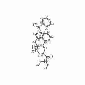 CCN(CC)C(=O)[C@@H]1C=C2c3cccc4c3c(cn4C(=O)c3ccncc3)C[C@H]2N(C)C1